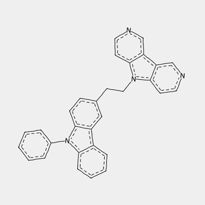 c1ccc(-n2c3ccccc3c3cc(CCn4c5ccncc5c5cnccc54)ccc32)cc1